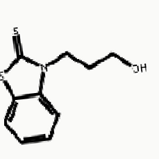 OCCCn1c(=S)sc2ccccc21